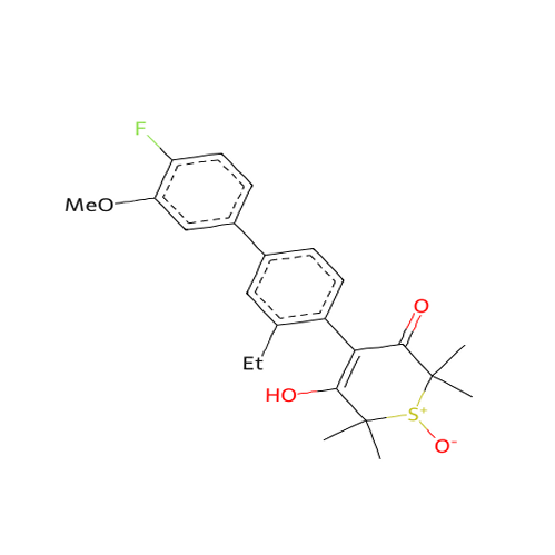 CCc1cc(-c2ccc(F)c(OC)c2)ccc1C1=C(O)C(C)(C)[S+]([O-])C(C)(C)C1=O